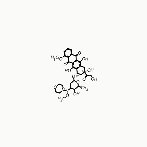 COc1cccc2c1C(=O)c1c(O)c3c(c(O)c1C2=O)C[C@@](O)(C(=O)CO)C[C@@H]3OC1CC(N(OC)N2CCOCC2)C(O)C(C)O1